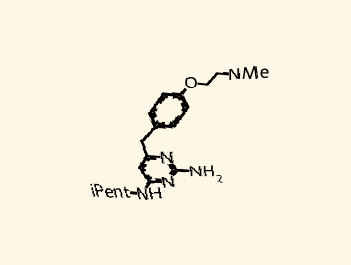 CCCC(C)Nc1cc(Cc2ccc(OCCNC)cc2)nc(N)n1